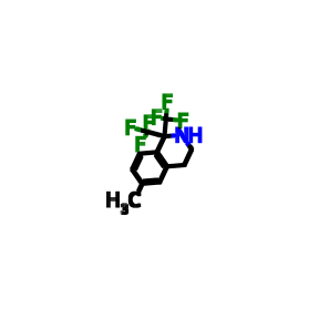 Cc1ccc2c(c1)CCNC2(C(F)(F)F)C(F)(F)F